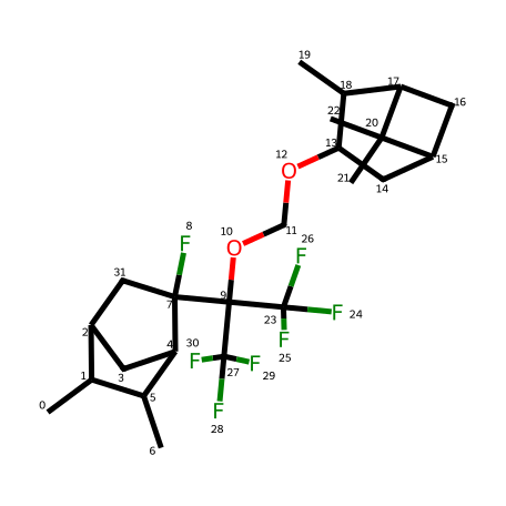 CC1C2CC(C1C)C(F)(C(OCOC1CC3CC(C1C)C3(C)C)(C(F)(F)F)C(F)(F)F)C2